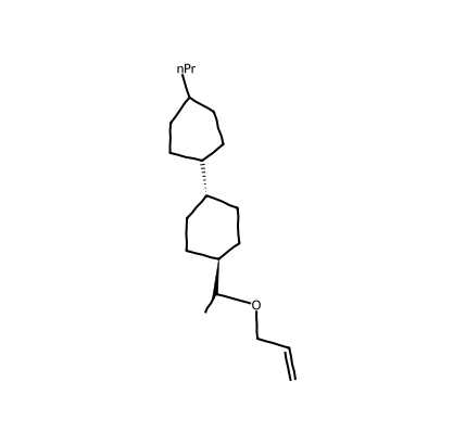 C=CCOC(C)[C@H]1CC[C@H](C2CCC(CCC)CC2)CC1